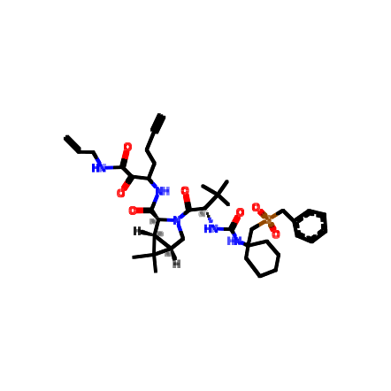 C#CCCC(NC(=O)[C@@H]1[C@@H]2[C@H](CN1C(=O)[C@@H](NC(=O)NC1(CS(=O)(=O)Cc3ccccc3)CCCCC1)C(C)(C)C)C2(C)C)C(=O)C(=O)NCC=C